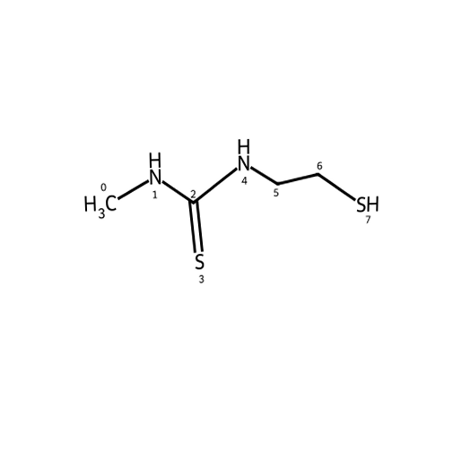 CNC(=S)NCCS